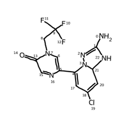 NC1=NN2C(c3cn(CC(F)(F)F)c(=O)cn3)=CC(Cl)=CC2N1